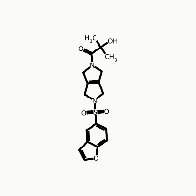 CC(C)(O)C(=O)N1CC2=C(C1)CN(S(=O)(=O)c1ccc3occc3c1)C2